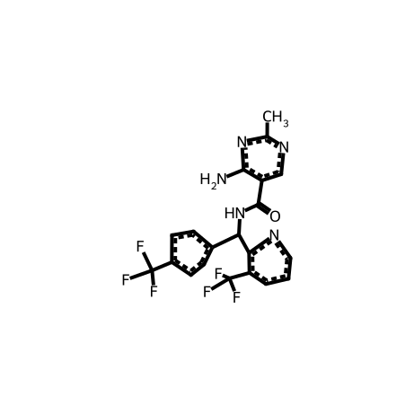 Cc1ncc(C(=O)NC(c2ccc(C(F)(F)F)cc2)c2ncccc2C(F)(F)F)c(N)n1